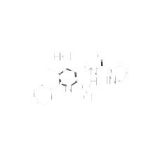 COc1nc(C2CCOCC2)c(F)cc1CNC(=O)C1CCCN1.Cl